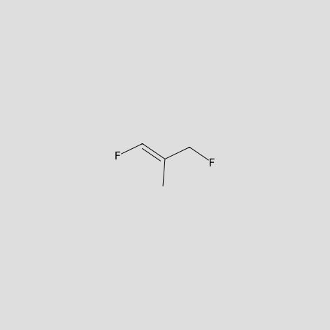 C/C(=C\F)CF